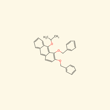 CC(C)Oc1c2ccccc2cc2ccc(OCc3ccccc3)c(OCc3ccccc3)c12